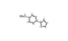 COc1ncc(-c2nc[c]s2)cn1